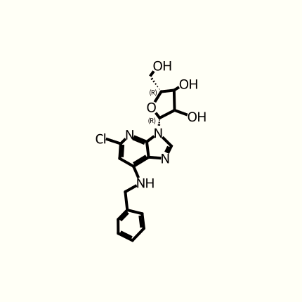 OC[C@H]1O[C@@H](n2cnc3c(NCc4ccccc4)cc(Cl)nc32)C(O)C1O